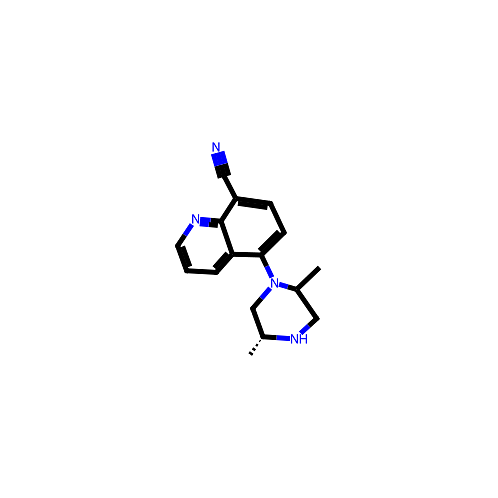 CC1CN[C@H](C)CN1c1ccc(C#N)c2ncccc12